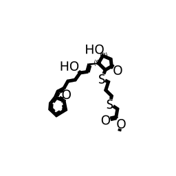 COC(=O)CSCCCSC1C(=O)C[C@@H](O)[C@@H]1C=CC(O)CCc1cc2ccccc2o1